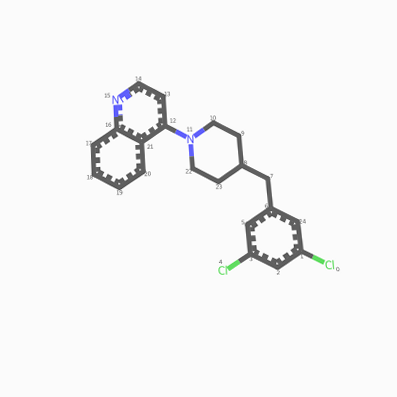 Clc1cc(Cl)cc(CC2CCN(c3c[c]nc4ccccc34)CC2)c1